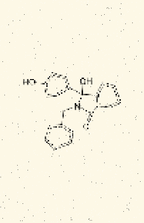 O=C1c2ccccc2C(O)(c2ccc(O)cc2)N1Cc1ccccc1